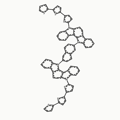 c1csc(-c2ccc(-c3ccc(-n4c5ccccc5c5c4ccc4c6ccccc6n(-c6ccc7cc(-n8c9ccccc9c9ccc%10c(c%11ccccc%11n%10-c%10ccc(-c%11ccc(-c%12cccs%12)s%11)s%10)c98)ccc7c6)c45)s3)s2)c1